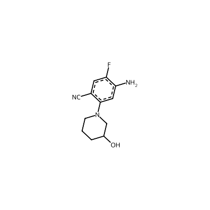 N#Cc1cc(F)c(N)cc1N1CCCC(O)C1